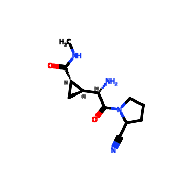 CNC(=O)[C@H]1C[C@@H]1[C@H](N)C(=O)N1CCCC1C#N